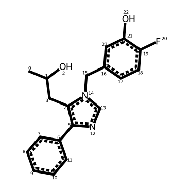 CC(O)Cc1c(-c2ccccc2)ncn1Cc1ccc(F)c(O)c1